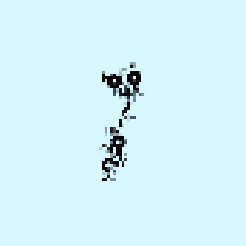 O=C1CCC(N2C(=O)c3ccc(NCCNCCCONC(=O)c4ccc(F)c(F)c4Nc4ccc(I)cc4F)cc3C2=O)C(=O)N1